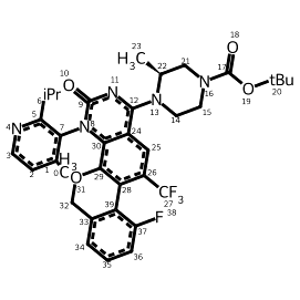 Cc1ccnc(C(C)C)c1-n1c(=O)nc(N2CCN(C(=O)OC(C)(C)C)C[C@@H]2C)c2cc(C(F)(F)F)c3c(c21)OCc1cccc(F)c1-3